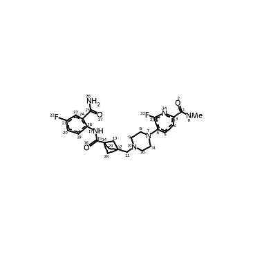 CNC(=O)c1ccc(N2CCN(CC34CC(C(=O)Nc5ccc(F)cc5C(N)=O)(C3)C4)CC2)c(F)n1